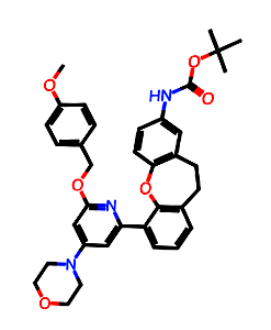 COc1ccc(COc2cc(N3CCOCC3)cc(-c3cccc4c3Oc3ccc(NC(=O)OC(C)(C)C)cc3CC4)n2)cc1